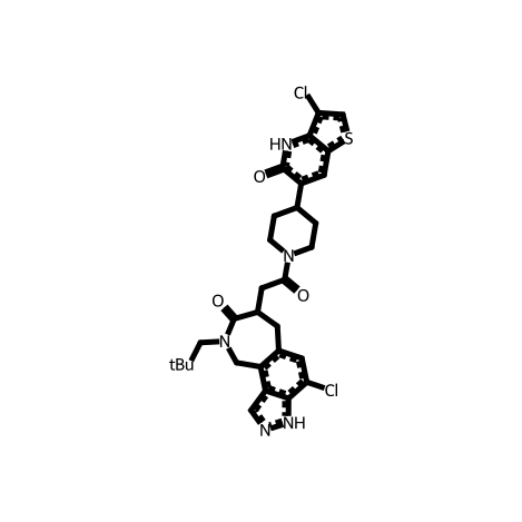 CC(C)(C)CN1Cc2c(cc(Cl)c3[nH]ncc23)CC(CC(=O)N2CCC(c3cc4scc(Cl)c4[nH]c3=O)CC2)C1=O